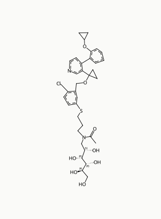 CC(=O)N(CCCSc1ccc(Cl)c(COC2(c3cnccc3-c3ccccc3OC3CC3)CC2)c1)C[C@H](O)[C@@H](O)[C@H](O)[C@H](O)CO